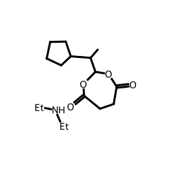 CC(C1CCCC1)C1OC(=O)CCC(=O)O1.CCNCC